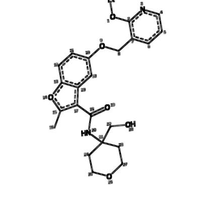 CCOc1ncccc1COc1ccc2oc(C)c(C(=O)NC3(CO)CCOCC3)c2c1